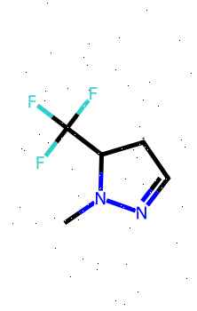 CN1N=C[CH]C1C(F)(F)F